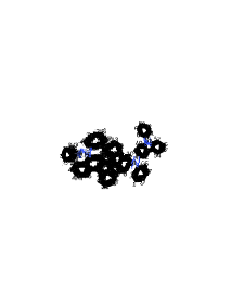 c1ccc(N(c2ccc3c(c2)-c2ccccc2C32c3ccccc3-c3c2cc(N(c2ccccc2)c2ccccc2)c2ccccc32)c2ccc3c(c2)c2ccccc2n3-c2ccccc2)cc1